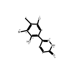 Cc1c(Cl)cc(-c2ccc(=O)[nH]n2)c(O)c1Br